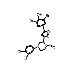 O=CN1CCN(c2ccc(Cl)c(Cl)c2)CC1c1cc(-c2cc(Br)c(O)c(Br)c2)on1